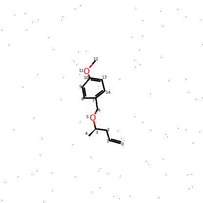 C=CC[C@@H](C)OCc1ccc(OC)cc1